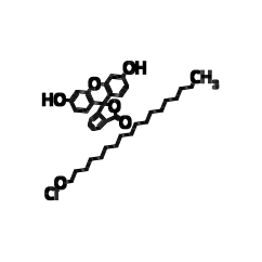 CCCCCCCCCCCCCCCCCCOCl.O=C1OC2(c3ccc(O)cc3Oc3cc(O)ccc32)c2ccccc21